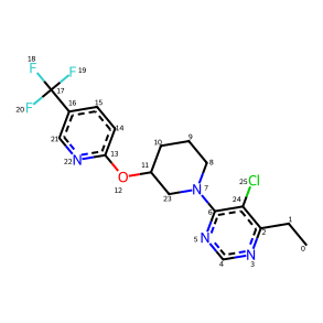 CCc1ncnc(N2CCCC(Oc3ccc(C(F)(F)F)cn3)C2)c1Cl